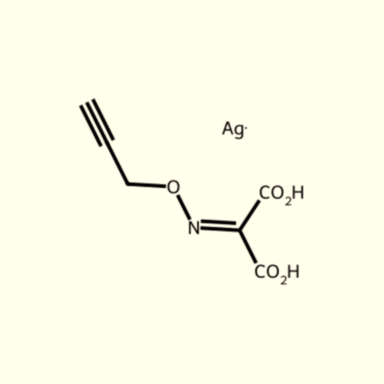 C#CCON=C(C(=O)O)C(=O)O.[Ag]